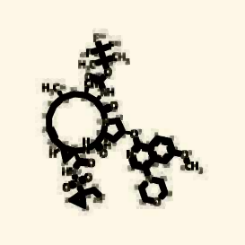 COc1ccc2c(O[C@@H]3C[C@H]4C(=O)N[C@]5(C(=O)NS(=O)(=O)C6(CF)CC6)C[C@H]5/C=C\CC[C@@H](C)C[C@@H](C)[C@H](NC(=O)OC(C)(C)C(F)(F)F)C(=O)N4C3)ncc(N3CCOCC3)c2c1